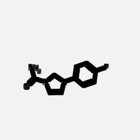 NC(=O)N1C=CN(c2ccc(F)cc2)C1